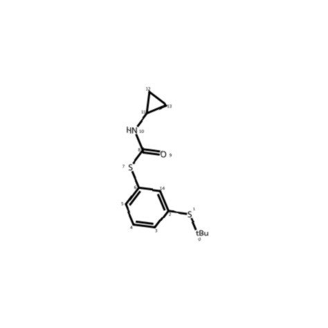 CC(C)(C)Sc1cccc(SC(=O)NC2CC2)c1